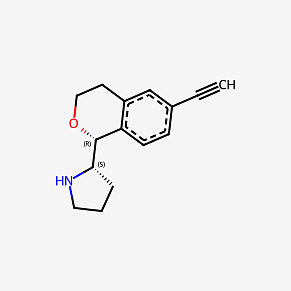 C#Cc1ccc2c(c1)CCO[C@H]2[C@@H]1CCCN1